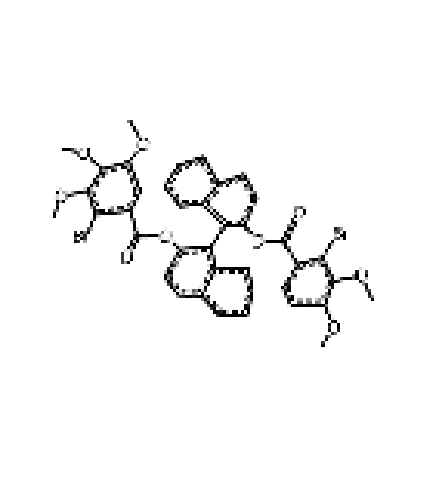 COc1ccc(C(=O)Oc2ccc3ccccc3c2-c2c(OC(=O)c3cc(OC)c(OC)c(OC)c3Br)ccc3ccccc23)c(Br)c1OC